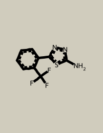 Nc1nnc(-c2ccccc2C(F)(F)F)s1